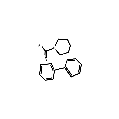 CCCC(=O)N1CCCCC1.c1ccc(-c2ccccc2)cc1